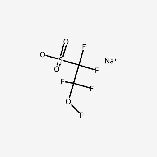 O=S(=O)([O-])C(F)(F)C(F)(F)OF.[Na+]